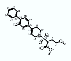 COCC[C@@H](C(=O)OC)S(=O)(=O)N1CC=C(c2ccc(-c3ccccc3)c(C)c2)CC1